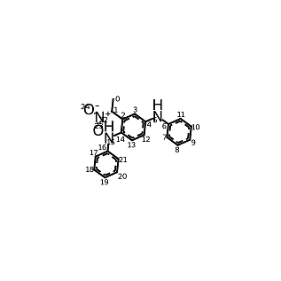 CC(c1cc(Nc2ccccc2)ccc1Nc1ccccc1)[N+](=O)[O-]